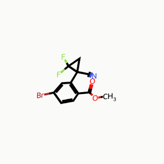 COC(=O)c1ccc(Br)cc1C1(C#N)CC1(F)F